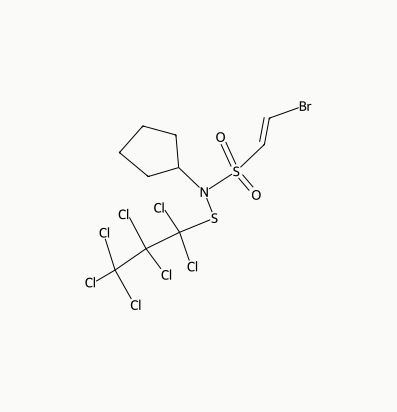 O=S(=O)(C=CBr)N(SC(Cl)(Cl)C(Cl)(Cl)C(Cl)(Cl)Cl)C1CCCC1